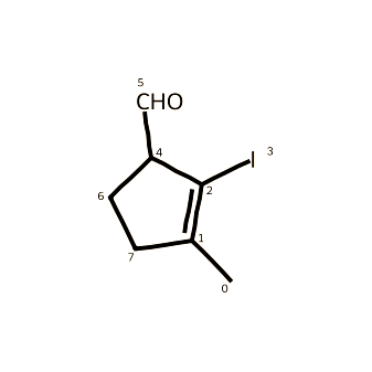 CC1=C(I)C(C=O)CC1